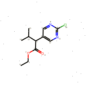 CCOC(=O)C(c1cnc(Cl)nc1)C(C)C